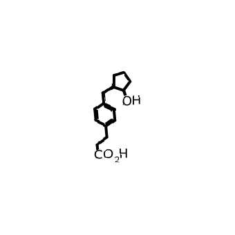 O=C(O)CCc1ccc(CC2CCCC2O)cc1